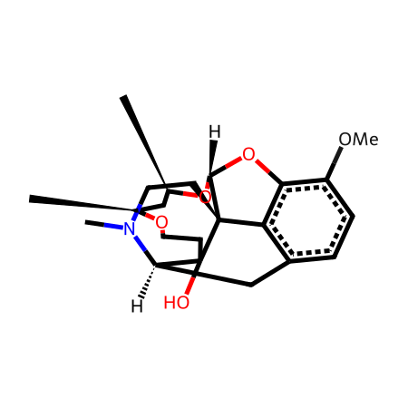 COc1ccc2c3c1O[C@H]1O[C@H](C)C[C@H](C)OCCC4(O)[C@@H](C2)N(C)CC[C@]314